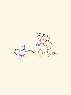 COC(=O)C1SC(CCCNc2ccccc2[N+](=O)[O-])C1NC(=O)OC(C)(C)C